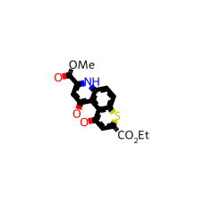 CCOC(=O)c1cc(=O)c2c(ccc3[nH]c(C(=O)OC)cc(=O)c32)s1